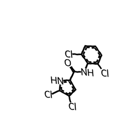 O=C(Nc1c(Cl)cccc1Cl)c1cc(Cl)c(Cl)[nH]1